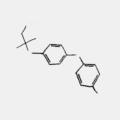 CCOC(=O)CC(C)(C)Oc1ccc(Oc2ccc(C(F)(F)F)cc2)cc1